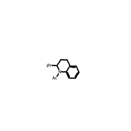 CC(=O)N1c2ccccc2CCC1C(C)C